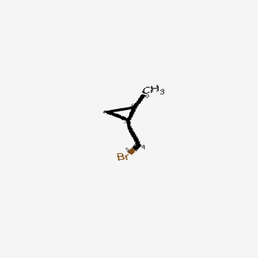 CC1[CH]C1CBr